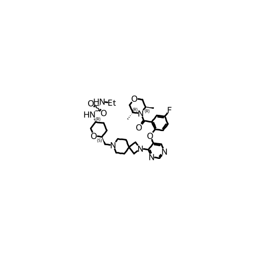 CCNS(=O)(=O)N[C@@H]1CC[C@@H](CN2CCC3(CC2)CN(c2ncncc2Oc2ccc(F)cc2C(=O)N2[C@H](C)COC[C@H]2C)C3)OC1